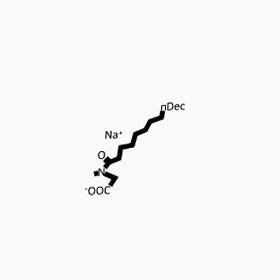 CCCCCCCCCCCCCCCCCC(=O)N(C)CC(=O)[O-].[Na+]